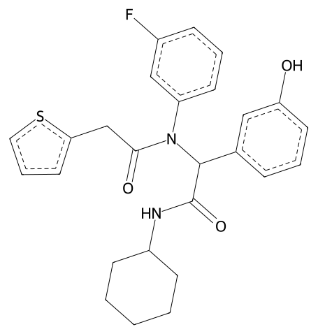 O=C(NC1CCCCC1)C(c1cccc(O)c1)N(C(=O)Cc1cccs1)c1cccc(F)c1